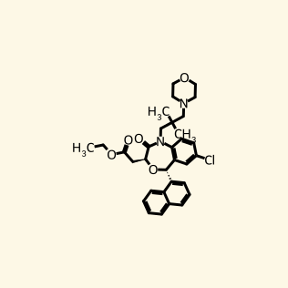 CCOC(=O)C[C@@H]1O[C@@H](c2cccc3ccccc23)c2cc(Cl)ccc2N(CC(C)(C)CN2CCOCC2)C1=O